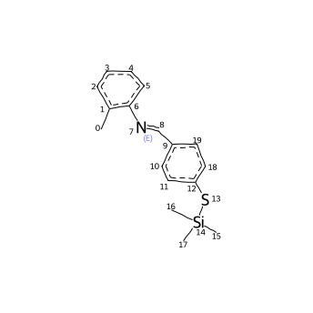 Cc1ccccc1/N=C/c1ccc(S[Si](C)(C)C)cc1